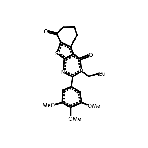 CCC(C)Cn1c(-c2cc(OC)c(OC)c(OC)c2)nc2sc3c(c2c1=O)CCCC3=O